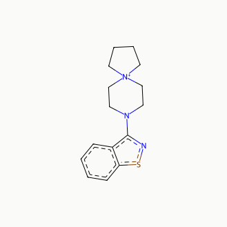 c1ccc2c(N3CC[N+]4(CCCC4)CC3)nsc2c1